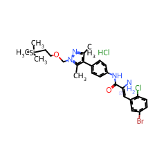 Cc1nn(COCC[Si](C)(C)C)c(C)c1-c1ccc(NC(=O)/C(N)=C/c2cc(Br)ccc2Cl)cc1.Cl